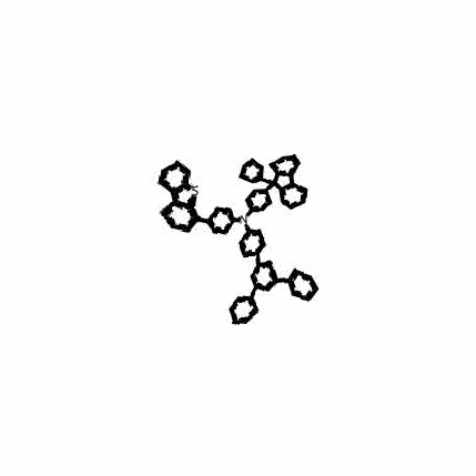 c1ccc(-c2cc(-c3ccccc3)cc(-c3ccc(N(c4ccc(-c5cccc6c5sc5ccccc56)cc4)c4ccc(C5(c6ccccc6)c6ccccc6-c6ccccc65)cc4)cc3)c2)cc1